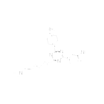 CCC(C)N1CCN(c2nc(OCCOCCN)nc(N(C)CC(N)=O)n2)CC1